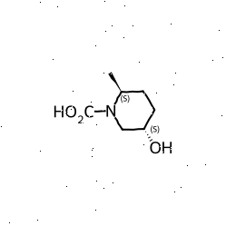 C[C@H]1CC[C@H](O)CN1C(=O)O